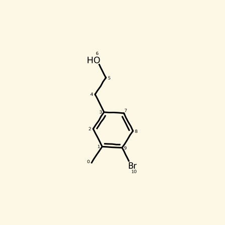 Cc1cc(CCO)ccc1Br